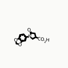 O=C(O)C1CC(=O)N(c2ccc3c(c2)OCO3)C1